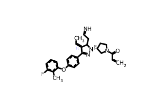 C=CC(=O)N1CC[C@@H](N2N=C(c3ccc(Oc4cccc(F)c4C)cc3)/C(=C/C)C2CC=N)C1